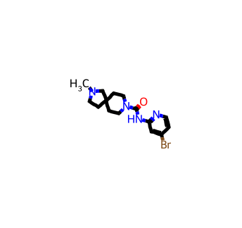 CN1CCC2(CCN(C(=O)Nc3cc(Br)ccn3)CC2)C1